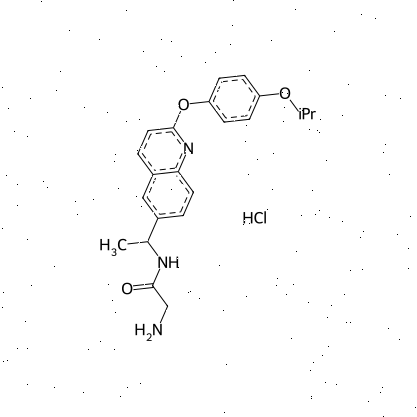 CC(C)Oc1ccc(Oc2ccc3cc(C(C)NC(=O)CN)ccc3n2)cc1.Cl